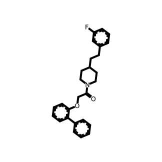 O=C(COc1ccccc1-c1ccccc1)N1CCC(CCc2cccc(F)c2)CC1